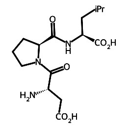 CC(C)C[C@H](NC(=O)[C@@H]1CCCN1C(=O)[C@@H](N)CC(=O)O)C(=O)O